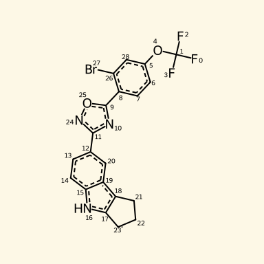 FC(F)(F)Oc1ccc(-c2nc(-c3ccc4[nH]c5c(c4c3)CC[CH]5)no2)c(Br)c1